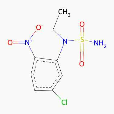 CCN(c1cc(Cl)ccc1[N+](=O)[O-])S(N)(=O)=O